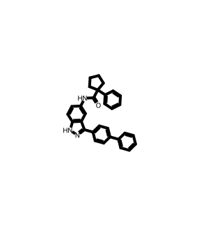 O=C(Nc1ccc2[nH]nc(-c3ccc(-c4ccccc4)cc3)c2c1)C1(c2ccccc2)CCCC1